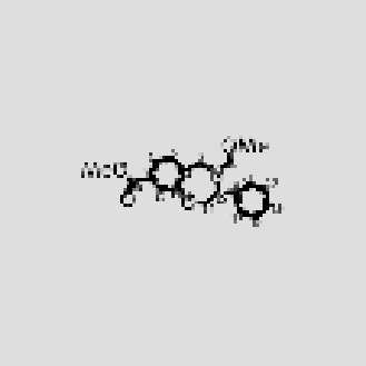 COCN1Cc2ccc(C(=O)OC)cc2OC[C@@H]1c1ccccc1